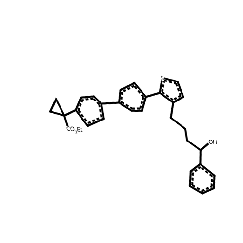 CCOC(=O)C1(c2ccc(-c3ccc(-c4sccc4CCCC(O)c4ccccc4)cc3)cc2)CC1